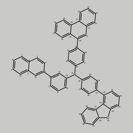 c1cc(-c2ccc3ccccc3c2)cc(N(c2ccc(-c3cc4ccccc4c4ccccc34)cc2)c2ccc(-c3cccc4oc5ccccc5c34)cc2)c1